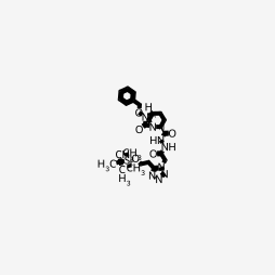 CC(C)(C)[Si](C)(C)OCCc1nnnn1CC(=O)NNC(=O)[C@@H]1CC[C@@H]2CN1C(=O)N2OCc1ccccc1